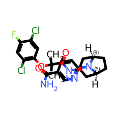 CC(C)(Oc1cc(Cl)c(F)cc1Cl)C(=O)N[C@H]1C[C@H]2CC[C@@H](C1)N2c1ccc(C(N)=O)cn1